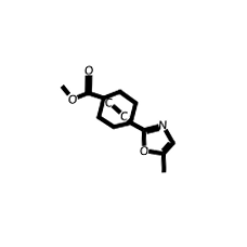 COC(=O)C12CCC(c3ncc(C)o3)(CC1)CC2